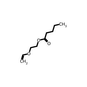 C=COCCOC(=O)CCCC